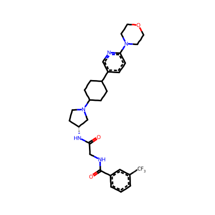 O=C(CNC(=O)c1cccc(C(F)(F)F)c1)N[C@@H]1CCN(C2CCC(c3ccc(N4CCOCC4)nc3)CC2)C1